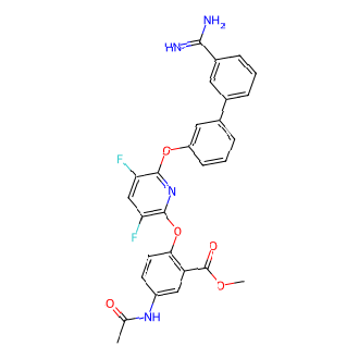 COC(=O)c1cc(NC(C)=O)ccc1Oc1nc(Oc2cccc(-c3cccc(C(=N)N)c3)c2)c(F)cc1F